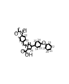 CC(=O)N(Cl)c1ccc(Cn2nc(-c3ccc(Oc4ccccc4)cc3)cc2C(=O)O)cc1